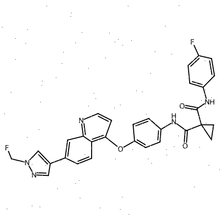 O=C(Nc1ccc(F)cc1)C1(C(=O)Nc2ccc(Oc3ccnc4cc(-c5cnn(CF)c5)ccc34)cc2)CC1